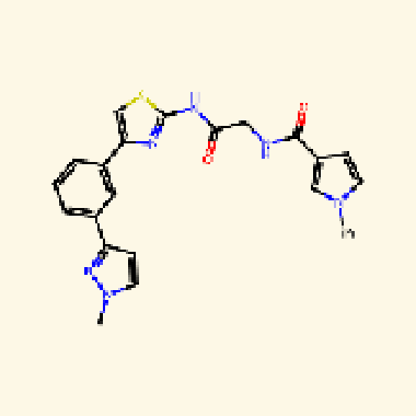 CC(C)n1ccc(C(=O)NCC(=O)Nc2nc(-c3cccc(-c4ccn(C)n4)c3)cs2)c1